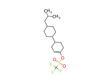 CC(C)CC1CCC(C2CC=C(OS(=O)(=O)C(F)(F)F)CC2)CC1